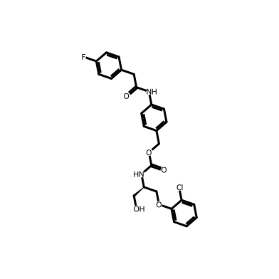 O=C(Cc1ccc(F)cc1)Nc1ccc(COC(=O)N[C@H](CO)COc2ccccc2Cl)cc1